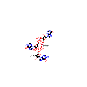 CO[C@@H]1C(O)[C@H](n2cnc3c(=O)[nH]cnc32)O[C@@H]1COP(=O)(O)O[C@@H]1C(O)[C@H](n2cnc3c(=O)[nH]cnc32)O[C@@H]1COP(=O)(O)O[C@@H]1C(O)[C@H](n2cnc3c(=O)[nH]cnc32)O[C@@H]1COP(=O)(O)OC